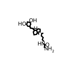 CC(CCCCNC(=O)CN)[C@H]1CC[C@H]2/C(=C/C=C3C[C@@H](O)C[C@H](O)C3)CCCC12C